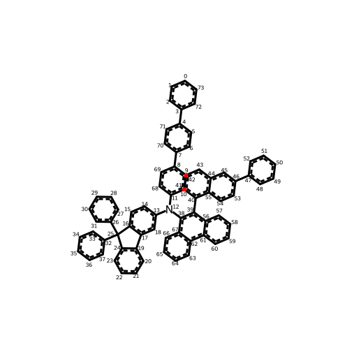 c1ccc(-c2ccc(-c3ccc(N(c4ccc5c(c4)-c4ccccc4C5(c4ccccc4)c4ccccc4)c4c(-c5cccc6cc(-c7ccccc7)ccc56)c5ccccc5c5ccccc45)cc3)cc2)cc1